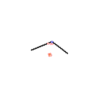 CCCCCCCCCCCCCCCCCCOCC(O)C[N+](C)(C)CCCCCCCCCCCCCCCCCC.COS(=O)(=O)[O-]